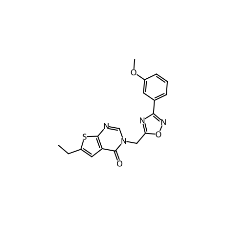 CCc1cc2c(=O)n(Cc3nc(-c4cccc(OC)c4)no3)cnc2s1